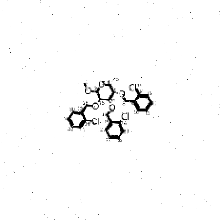 CO[C@H]1O[C@H](C)[C@H](OCc2ccccc2Cl)[C@H](OCc2ccccc2Cl)[C@H]1OCc1ccccc1Cl